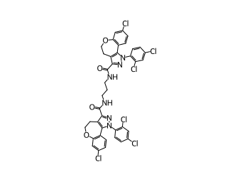 O=C(NCCCNC(=O)c1nn(-c2ccc(Cl)cc2Cl)c2c1CCOc1cc(Cl)ccc1-2)c1nn(-c2ccc(Cl)cc2Cl)c2c1CCOc1cc(Cl)ccc1-2